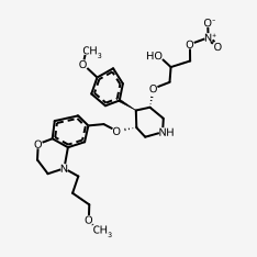 COCCCN1CCOc2ccc(CO[C@H]3CNC[C@@H](OCC(O)CO[N+](=O)[O-])[C@@H]3c3ccc(OC)cc3)cc21